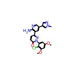 COc1cc(OC)c(Cl)c(-n2nc(-c3cc(-c4cnn(C)c4)cnc3N)ccc2=O)c1